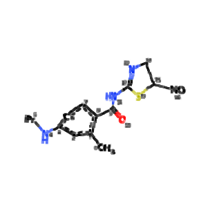 Cc1cc(NC(C)C)ccc1C(=O)NC1=NCC(N=O)S1